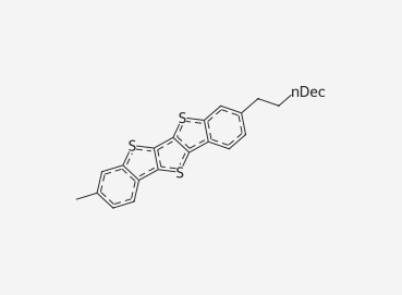 CCCCCCCCCCCCc1ccc2c(c1)sc1c2sc2c3ccc(C)cc3sc21